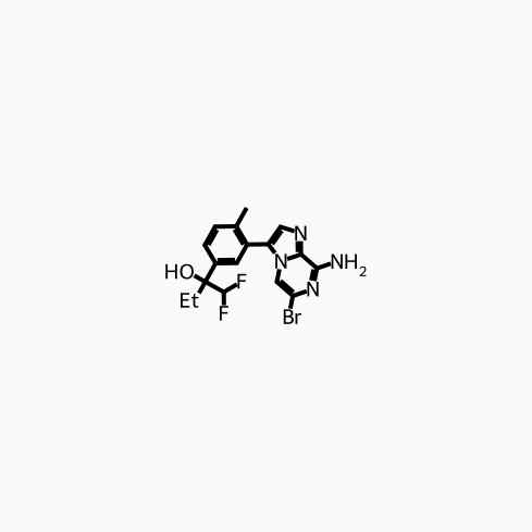 CCC(O)(c1ccc(C)c(-c2cnc3c(N)nc(Br)cn23)c1)C(F)F